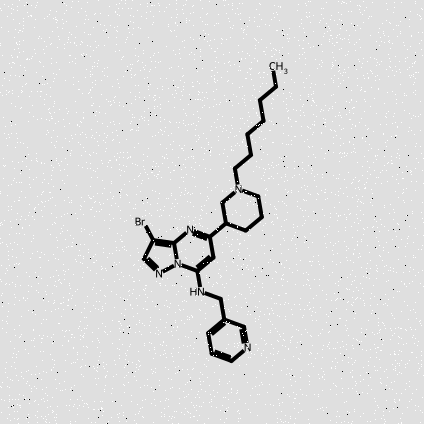 CCCCCCCN1CCCC(c2cc(NCc3cccnc3)n3ncc(Br)c3n2)C1